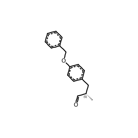 C[C@H](C=O)Cc1ccc(OCc2ccccc2)cc1